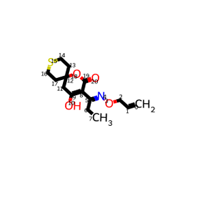 C=CCON=C(CC)C1=C(O)CC2(CCSCC2)OC1=O